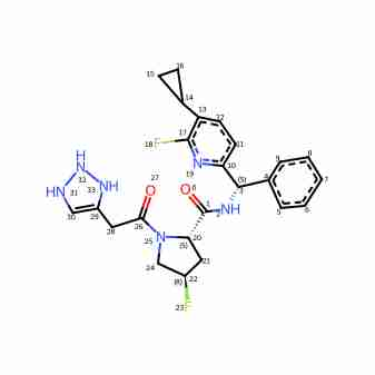 O=C(N[C@@H](c1ccccc1)c1ccc(C2CC2)c(F)n1)[C@@H]1C[C@@H](F)CN1C(=O)CC1=CNNN1